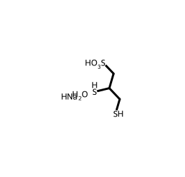 O.O=S(=O)(O)CC(S)CS.[NaH]